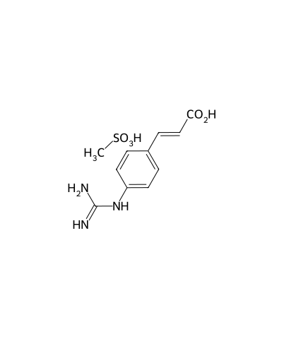 CS(=O)(=O)O.N=C(N)Nc1ccc(C=CC(=O)O)cc1